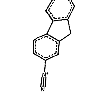 N#[N+]c1ccc2c(c1)Cc1ccccc1-2